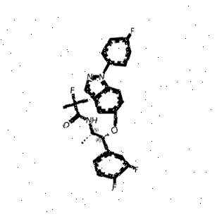 C[C@H](NC(=O)C(C)(C)F)[C@H](Oc1ccc2c(cnn2-c2ccc(F)cc2)c1)c1ccc(F)c(F)c1